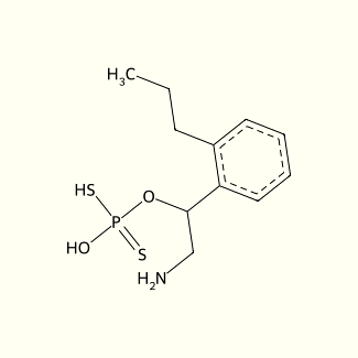 CCCc1ccccc1C(CN)OP(O)(=S)S